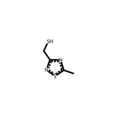 Cc1nc(CS)ns1